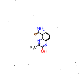 NC(=S)c1cccc2nc(O)c(C(F)(F)F)nc12